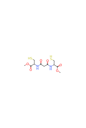 COC(=O)C(CS)NC(=O)CC(=O)NC(CS)C(=O)OC